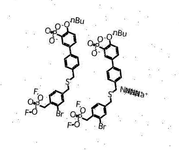 CCCCOc1ccc(-c2ccc(CSCc3ccc(CP(=O)(OF)OF)c(Br)c3)cc2)cc1P(=O)([O-])[O-].CCCCOc1ccc(-c2ccc(CSCc3ccc(CP(=O)(OF)OF)c(Br)c3)cc2)cc1P(=O)([O-])[O-].[Na+].[Na+].[Na+].[Na+]